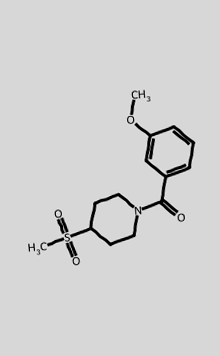 COc1cccc(C(=O)N2CCC(S(C)(=O)=O)CC2)c1